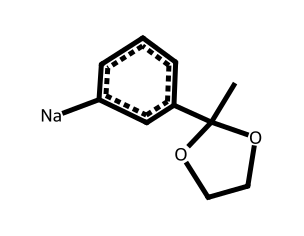 CC1(c2ccc[c]([Na])c2)OCCO1